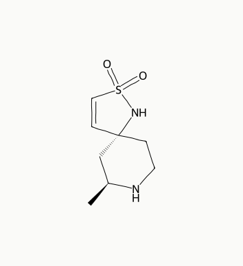 C[C@H]1C[C@@]2(C=CS(=O)(=O)N2)CCN1